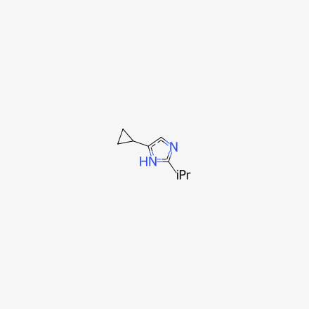 CC(C)c1ncc(C2CC2)[nH]1